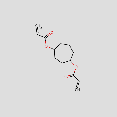 C=CC(=O)OC1CCCC(OC(=O)C=C)CC1